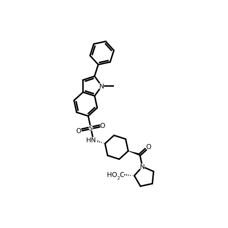 Cn1c(-c2ccccc2)cc2ccc(S(=O)(=O)N[C@H]3CC[C@H](C(=O)N4CCC[C@@H]4C(=O)O)CC3)cc21